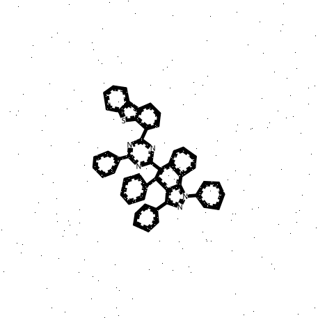 c1ccc(-c2nc(-c3c(-c4ccccc4)c4c(-c5ccccc5)nn(-c5ccccc5)c4c4ccccc34)nc(-c3cccc4c3sc3ccccc34)n2)cc1